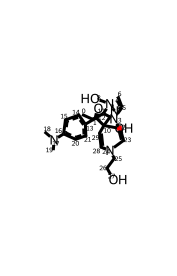 CCC1N(O)C2=C[N+]1(O)N2C1(C(=O)c2ccc(N(C)C)cc2)C=CN(CCO)C=C1